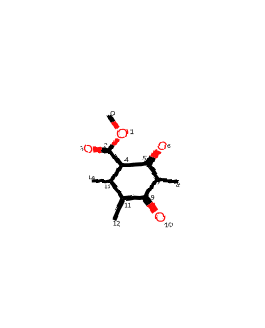 COC(=O)C1C(=O)C(C)C(=O)C(C)C1C